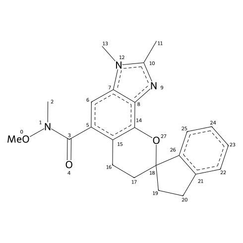 CON(C)C(=O)c1cc2c(nc(C)n2C)c2c1CCC1(CCc3ccccc31)O2